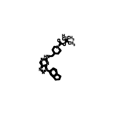 CC(C)(C)OC(=O)N1CCC(CNc2ncc3nnn(-c4ccc5c(c4)CCC5)c3n2)CC1